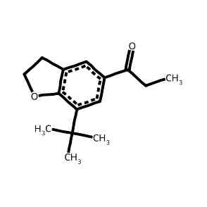 CCC(=O)c1cc2c(c(C(C)(C)C)c1)OCC2